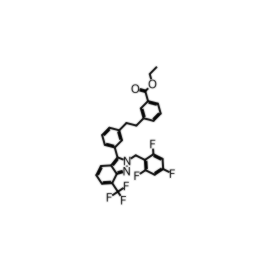 CCOC(=O)c1cccc(CCc2cccc(-c3c4cccc(C(F)(F)F)c4nn3Cc3c(F)cc(F)cc3F)c2)c1